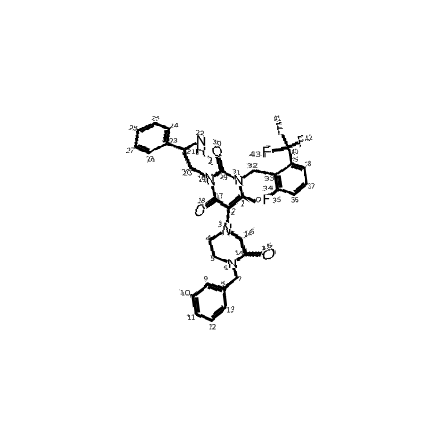 Cc1c(N2CCN(Cc3ccccc3)C(=O)C2)c(=O)n(CC(N)c2ccccc2)c(=O)n1Cc1c(F)cccc1C(F)(F)F